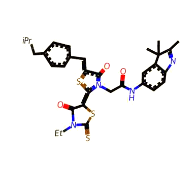 CCN1C(=O)/C(=c2\s/c(=C\c3ccc(CC(C)C)cc3)c(=O)n2CC(=O)Nc2ccc3c(c2)C(C)(C)C(C)=N3)SC1=S